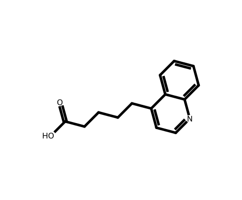 O=C(O)CCCCc1ccnc2ccccc12